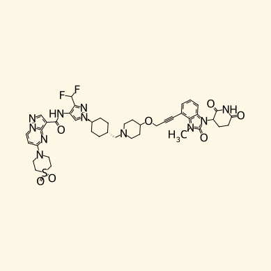 Cn1c(=O)n(C2CCC(=O)NC2=O)c2cccc(C#CCOC3CCN(C[C@H]4CC[C@H](n5cc(NC(=O)c6cnn7ccc(N8CCS(=O)(=O)CC8)nc67)c(C(F)F)n5)CC4)CC3)c21